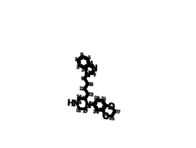 c1ccc2c(c1)ncn2CCCCC1CNCCN1c1ccc2c(c1)OCCO2